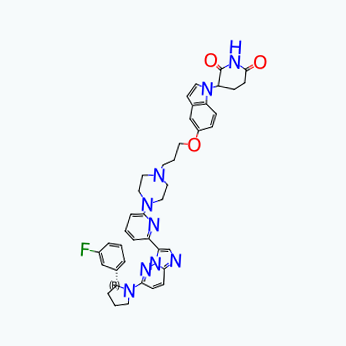 O=C1CCC(n2ccc3cc(OCCCN4CCN(c5cccc(-c6cnc7ccc(N8CCC[C@@H]8c8cccc(F)c8)nn67)n5)CC4)ccc32)C(=O)N1